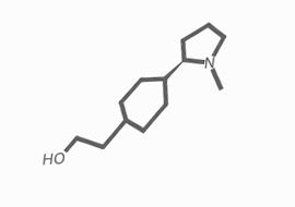 CN1CCC[C@@H]1C1CCC(CCO)CC1